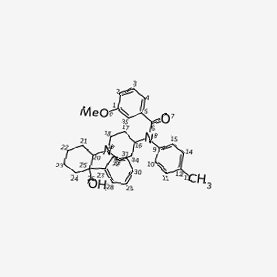 COc1cccc(C(=O)N(c2ccc(C)cc2)C2CCN(C3CCCCC3(O)c3ccccc3)CC2)c1